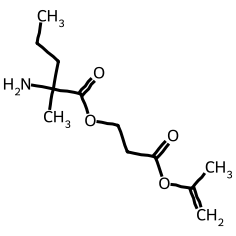 C=C(C)OC(=O)CCOC(=O)C(C)(N)CCC